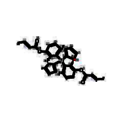 C/C=C/C(=O)Oc1ccc(F)[c]([Ti]([C]2=CC=CC2)([C]2=CC=CC2)[c]2c(F)ccc(OC(=O)/C=C/C)c2F)c1F